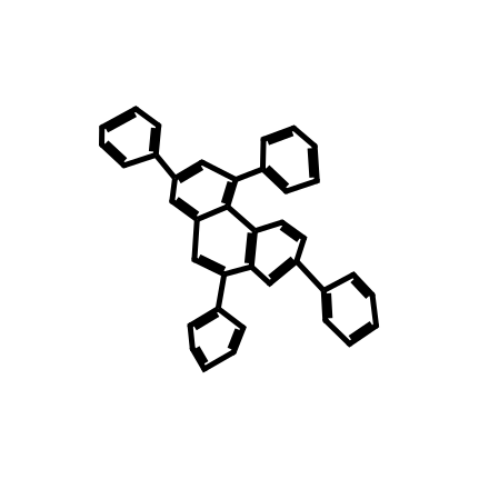 c1ccc(-c2cc(-c3ccccc3)c3c(c2)cc(-c2ccccc2)c2cc(-c4ccccc4)ccc23)cc1